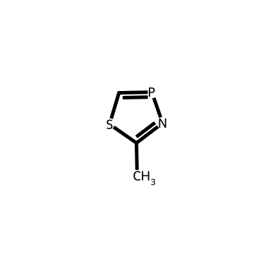 Cc1npcs1